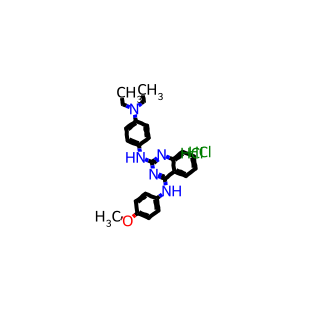 CCN(CC)c1ccc(Nc2nc(Nc3ccc(OC)cc3)c3ccccc3n2)cc1.Cl.Cl